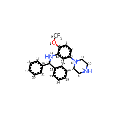 FC(F)(F)Oc1ccc(N2CCNCC2)cc1NC(c1ccccc1)c1ccccc1